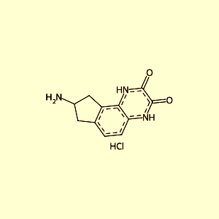 Cl.NC1Cc2ccc3[nH]c(=O)c(=O)[nH]c3c2C1